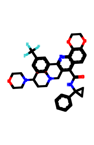 O=C(NC1(c2ccccc2)CC1)c1c(CN2CCC(N3CCOCC3)CC2)c(-c2cccc(C(F)(F)F)c2)nc2c3c(ccc12)OCCO3